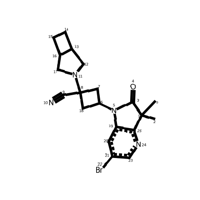 CC1(C)C(=O)N(C2CC(C#N)(N3CC4CCC4C3)C2)c2cc(Br)cnc21